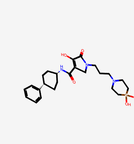 O=C(N[C@H]1CC[C@@H](c2ccccc2)CC1)C1=C(O)C(=O)N(CCCN2CCS(O)(O)CC2)C1